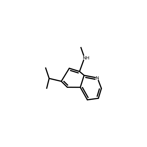 CNc1cc(C(C)C)cc2cccnc12